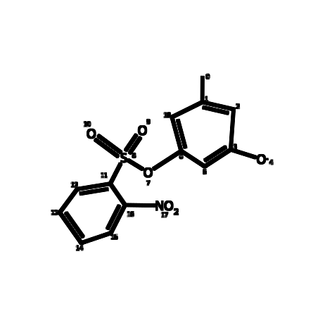 Cc1cc([O])cc(OS(=O)(=O)c2ccccc2[N+](=O)[O-])c1